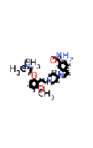 COc1cccc(OCCN(C)C)c1CCN1CCC(n2ccc3ccc(C(N)=O)cc32)CC1